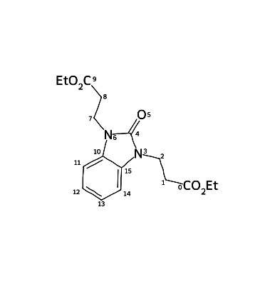 CCOC(=O)CCn1c(=O)n(CCC(=O)OCC)c2ccccc21